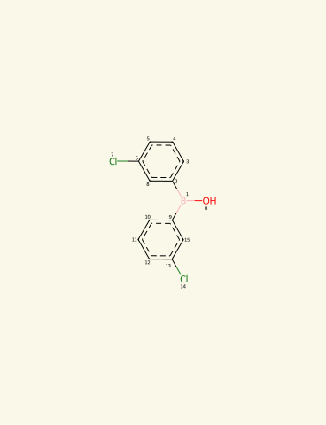 OB(c1cccc(Cl)c1)c1cccc(Cl)c1